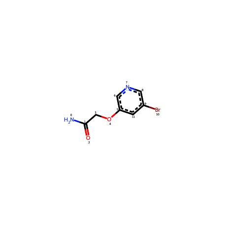 NC(=O)COc1cncc(Br)c1